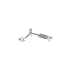 C#CBC